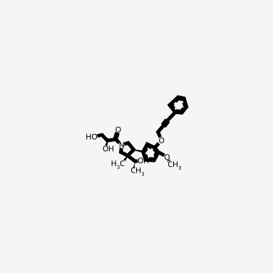 COc1ccc([C@@H]2CN(C(=O)[C@@H](O)CO)C[C@@]2(C)[C@@H](C)O)cc1OCC#Cc1ccccc1